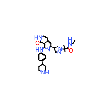 CCNC(=O)C(C)(C)N1CC(c2cc3cc[nH]c(=O)c3c(Nc3ccc(C4CCNCC4)cc3)n2)C=N1